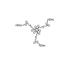 CCCCCCCCCCCCOC(=O)CCSCCC(=O)n1c(=O)n(C(=O)CCSCCC(=O)OCCCCCCCCCCCC)c(=O)n(C(=O)CCSCCC(=O)OCCCCCCCCCCCC)c1=O